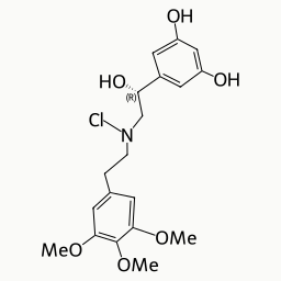 COc1cc(CCN(Cl)C[C@H](O)c2cc(O)cc(O)c2)cc(OC)c1OC